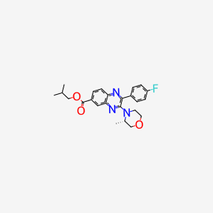 CC(C)COC(=O)c1ccc2nc(-c3ccc(F)cc3)c(N3CCOC[C@@H]3C)nc2c1